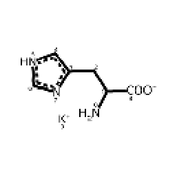 NC(Cc1c[nH]cn1)C(=O)[O-].[K+]